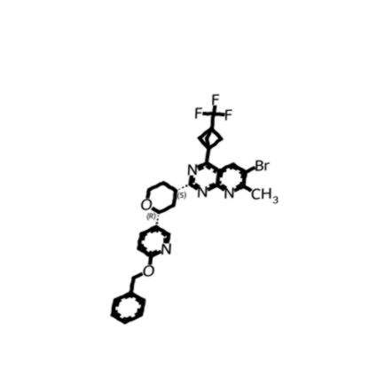 Cc1nc2nc([C@H]3CCO[C@@H](c4ccc(OCc5ccccc5)nc4)C3)nc(C34CC(C(F)(F)F)(C3)C4)c2cc1Br